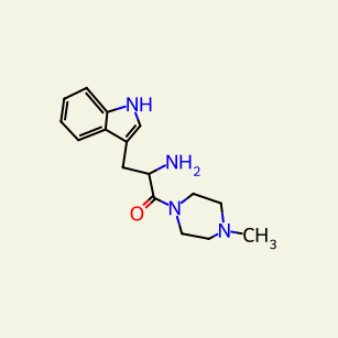 CN1CCN(C(=O)C(N)Cc2c[nH]c3ccccc23)CC1